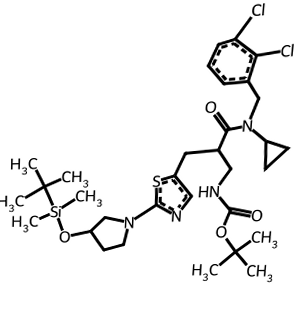 CC(C)(C)OC(=O)NCC(Cc1cnc(N2CCC(O[Si](C)(C)C(C)(C)C)C2)s1)C(=O)N(Cc1cccc(Cl)c1Cl)C1CC1